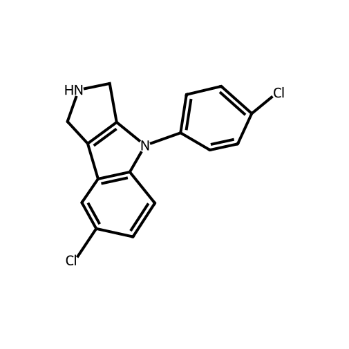 Clc1ccc(-n2c3c(c4cc(Cl)ccc42)CNC3)cc1